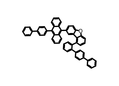 c1ccc(-c2ccc(-c3ccccc3-c3cccc4oc5ccc(-c6c7ccccc7c(-c7ccc(-c8ccccc8)cc7)c7ccccc67)cc5c34)cc2)cc1